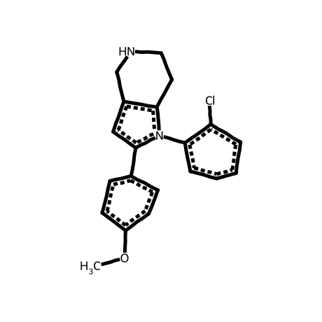 COc1ccc(-c2cc3c(n2-c2ccccc2Cl)CCNC3)cc1